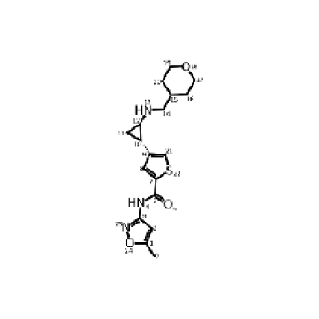 Cc1cc(NC(=O)c2cc([C@@H]3C[C@H]3NCC3CCOCC3)cs2)no1